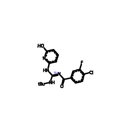 CC(C)(C)N/C(=N\C(=O)c1ccc(Cl)c(F)c1)Nc1cccc(O)n1